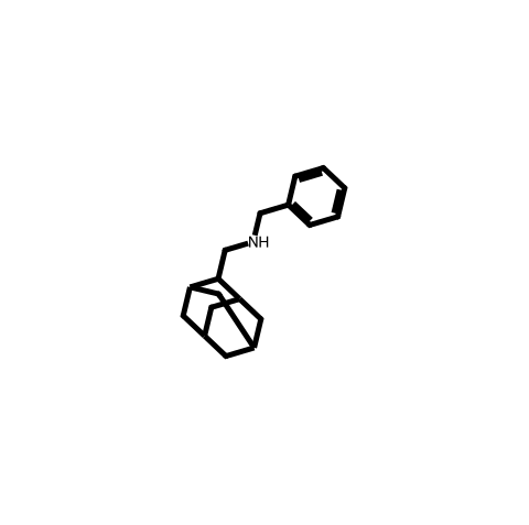 c1ccc(CNCC2C3CC4CC(C3)CC2C4)cc1